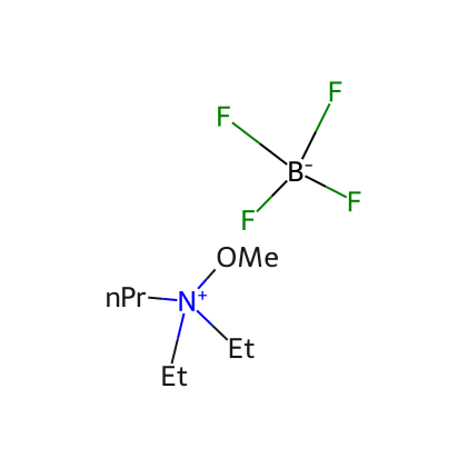 CCC[N+](CC)(CC)OC.F[B-](F)(F)F